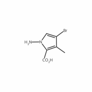 Cc1c(Br)cn(N)c1C(=O)O